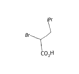 CC(C)CC(Br)C(=O)O